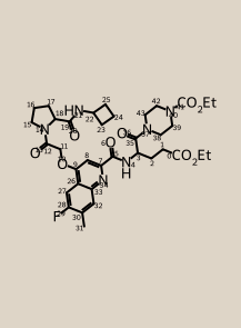 CCOC(=O)CCC(NC(=O)c1cc(OCC(=O)N2CCCC2C(=O)NC2CCC2)c2cc(F)c(C)cc2n1)C(=O)N1CCN(C(=O)OCC)CC1